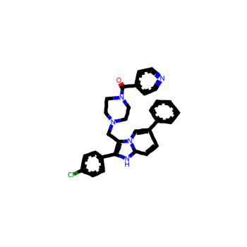 O=C(c1ccncc1)N1CCN(CC2=C(c3ccc(Cl)cc3)NC3C=CC(c4ccccc4)=CN23)CC1